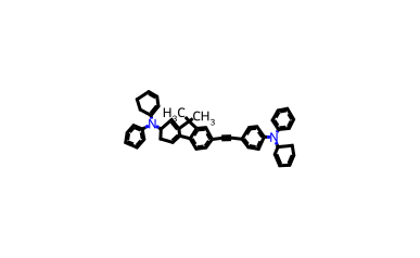 CC1(C)C2=CC(N(C3=CC=CCC3)c3ccccc3)CC=C2c2ccc(C#Cc3ccc(N(c4ccccc4)C4C=CC=CC4)cc3)cc21